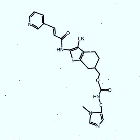 Cn1cncc1CNC(=O)OCC1CCc2c(sc(NC(=O)C=Cc3cccnc3)c2C#N)C1